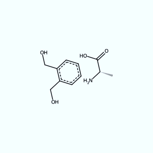 C[C@H](N)C(=O)O.OCc1ccccc1CO